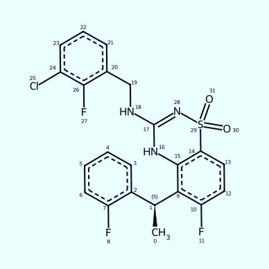 C[C@@H](c1ccccc1F)c1c(F)ccc2c1NC(NCc1cccc(Cl)c1F)=NS2(=O)=O